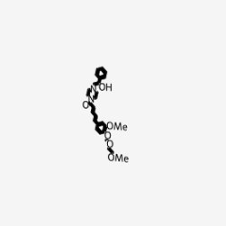 COCCOCOc1ccc(C=CC=CC(=O)N2CCN(CC(O)c3ccccc3)CC2)cc1OC